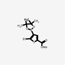 CCc1sc(C(=O)OC)cc1B1OC(C)(C)C(C)(C)O1